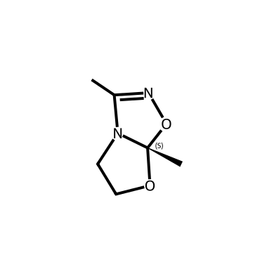 CC1=NO[C@]2(C)OCCN12